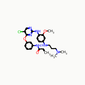 C=CC(=O)Nc1cccc(Oc2nc(Nc3ccc(NCCCN(C)C)cc3OC)ncc2Cl)c1